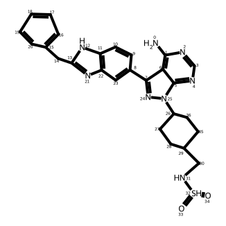 Nc1ncnc2c1c(-c1ccc3[nH]c(Cc4ccccc4)nc3c1)nn2C1CCC(CN[SH](=O)=O)CC1